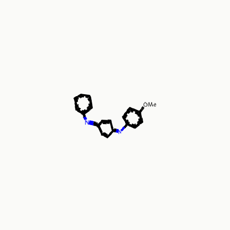 COc1ccc(N=C2C=CC(=Nc3ccccc3)C=C2)cc1